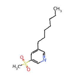 CCCCCCCc1cncc(S(C)(=O)=O)c1